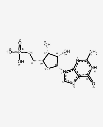 Nc1nc2c(ncn2[C@@H]2O[C@H](COP(=O)(O)O)[C@H](O)[C@@H]2O)c(=O)[nH]1